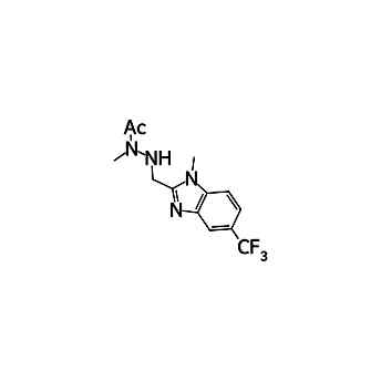 CC(=O)N(C)NCc1nc2cc(C(F)(F)F)ccc2n1C